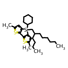 CCCCCCC(CCCC)C[Si]1(C2CCCCC2)c2cc(C)sc2-c2sc(C)cc21